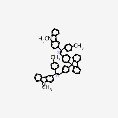 Cc1ccc(/C(=C\c2ccc(C3(c4ccc(/C=C(\c5ccc(C)cc5)c5ccc6c(c5)c5ccccc5n6C)cc4)c4ccccc4-c4ccccc43)cc2)c2ccc3c(c2)c2ccccc2n3C)cc1